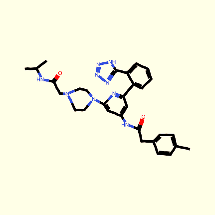 Cc1ccc(CC(=O)Nc2cc(-c3ccccc3-c3nnn[nH]3)nc(N3CCN(CC(=O)NC(C)C)CC3)c2)cc1